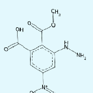 COC(=O)c1c(NN)cc([N+](=O)[O-])cc1C(=O)O